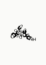 O=C(NCc1c(-c2ccoc2)sc2c1CCNC2)Nc1sc2c(c1C(=O)OC1CCOC1)CCOC2